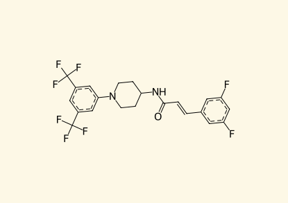 O=C(C=Cc1cc(F)cc(F)c1)NC1CCN(c2cc(C(F)(F)F)cc(C(F)(F)F)c2)CC1